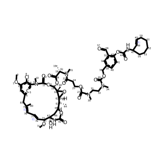 COc1cc2cc(c1Cl)N(C)C(=O)C[C@H](OC(=O)[C@H](C)N(C)C(=O)CCOC(=O)N(C)CCN(C)C(=O)OCc1ccc(OC(=O)NC3/C=C/CCCCC3)c(C=O)c1)[C@]1(C)O[C@H]1[C@H](C)[C@@H]1C[C@@](O)(NC(=O)O1)[C@H](OC)/C=C/C=C(\C)C2